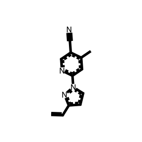 C=Cc1ccn(-c2cc(C)c(C#N)cn2)n1